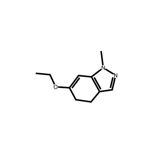 CCOC1=Cc2c(cnn2C)CC1